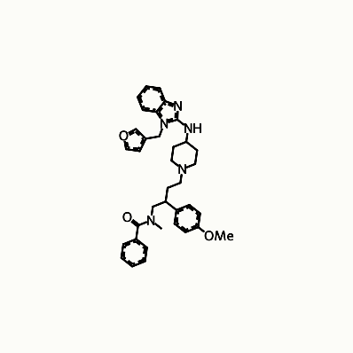 COc1ccc(C(CCN2CCC(Nc3nc4ccccc4n3Cc3ccoc3)CC2)CN(C)C(=O)c2ccccc2)cc1